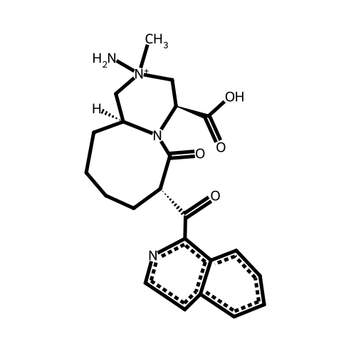 C[N+]1(N)C[C@@H]2CCCC[C@@H](C(=O)c3nccc4ccccc34)C(=O)N2[C@H](C(=O)O)C1